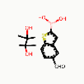 CC(C)(O)C(C)(C)O.O=Cc1ccc2sc(B(O)O)cc2c1